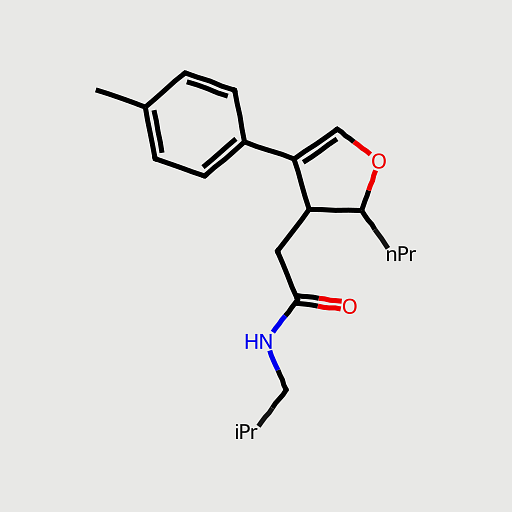 CCCC1OC=C(c2ccc(C)cc2)C1CC(=O)NCC(C)C